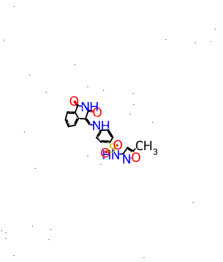 Cc1cc(NS(=O)(=O)c2ccc(NC=C3C(=O)NC(=O)c4ccccc43)cc2)no1